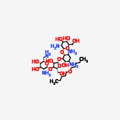 CCCCCOCCCCC.NC[C@@H]1O[C@H](O[C@H]2[C@@H](O)[C@H](O[C@@H]3[C@@H](O)[C@H](N)C[C@H](N)[C@H]3O[C@H]3O[C@H](CO)[C@@H](O)[C@H](O)[C@H]3N)O[C@@H]2CO)[C@H](N)[C@@H](O)[C@@H]1O